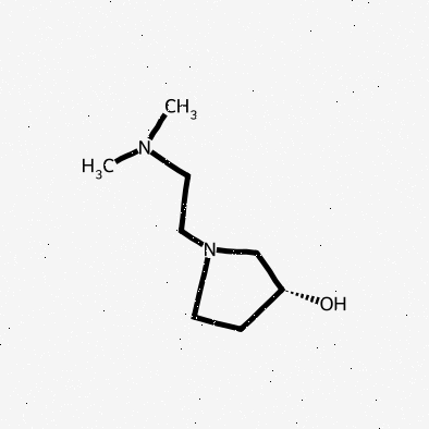 CN(C)CCN1CC[C@@H](O)C1